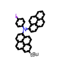 CC(C)(C)c1cc2ccc3ccc(N(c4ccc(I)cc4)c4ccc5ccc6cccc7ccc4c5c67)c4ccc(c1)c2c34